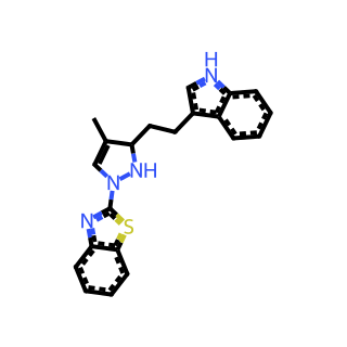 CC1=CN(c2nc3ccccc3s2)NC1CCc1c[nH]c2ccccc12